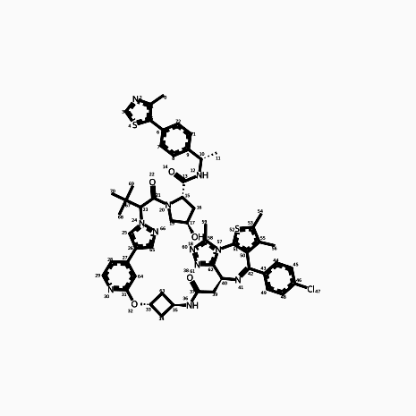 Cc1ncsc1-c1ccc([C@H](C)NC(=O)[C@@H]2C[C@@H](O)CN2C(=O)C(n2cc(-c3ccnc(O[C@H]4C[C@H](NC(=O)C[C@@H]5N=C(c6ccc(Cl)cc6)c6c(sc(C)c6C)-n6c(C)nnc65)C4)c3)cn2)C(C)(C)C)cc1